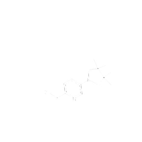 CC1(C)OB(c2ccc(CBr)nc2)OC1(C)C